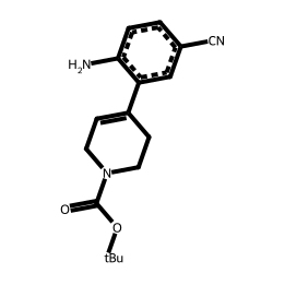 CC(C)(C)OC(=O)N1CC=C(c2cc(C#N)ccc2N)CC1